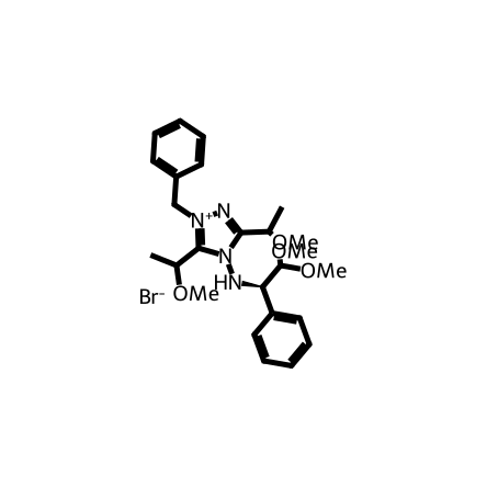 COC(C)c1n[n+](Cc2ccccc2)c(C(C)OC)n1N[C@H](c1ccccc1)C(OC)OC.[Br-]